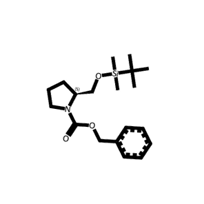 CC(C)(C)[Si](C)(C)OC[C@@H]1CCCN1C(=O)OCc1ccccc1